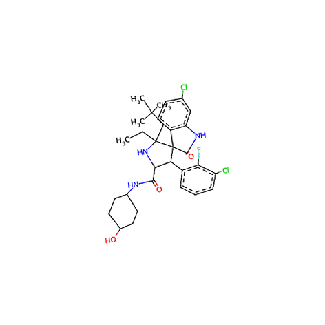 CCC1(CC(C)(C)C)NC(C(=O)NC2CCC(O)CC2)C(c2cccc(Cl)c2F)C12C(=O)Nc1cc(Cl)ccc12